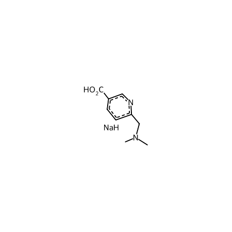 CN(C)Cc1ccc(C(=O)O)cn1.[NaH]